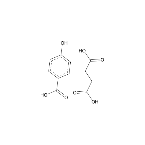 O=C(O)CCC(=O)O.O=C(O)c1ccc(O)cc1